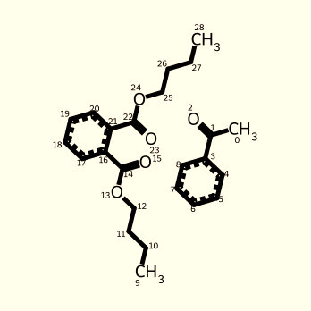 CC(=O)c1ccccc1.CCCCOC(=O)c1ccccc1C(=O)OCCCC